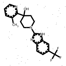 Cc1cccnc1C1(O)CCN(c2nc3ccc(C(F)(F)F)cc3[nH]2)CC1